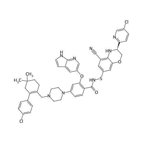 CC1(C)CCC(CN2CCN(c3ccc(C(=O)NSc4cc(C#N)c5c(c4)OC[C@H](c4ccc(Cl)cn4)N5)c(Oc4cnc5[nH]ccc5c4)c3)CC2)=C(c2ccc(Cl)cc2)C1